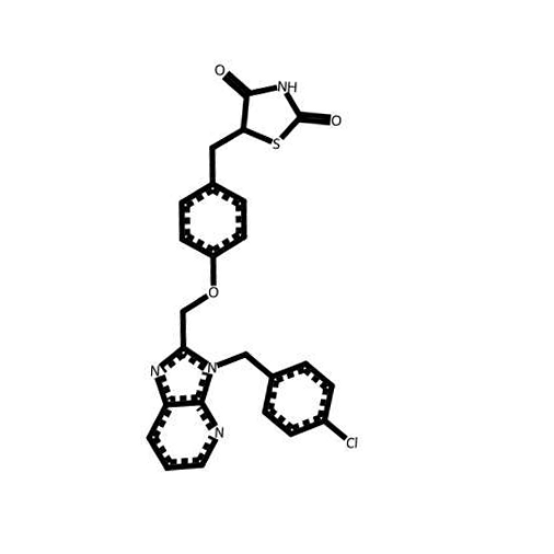 O=C1NC(=O)C(Cc2ccc(OCc3nc4cccnc4n3Cc3ccc(Cl)cc3)cc2)S1